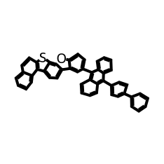 c1ccc(-c2ccc(-c3c4ccccc4c(-c4ccc5oc6c(ccc7c6sc6ccc8ccccc8c67)c5c4)c4ccccc34)cc2)cc1